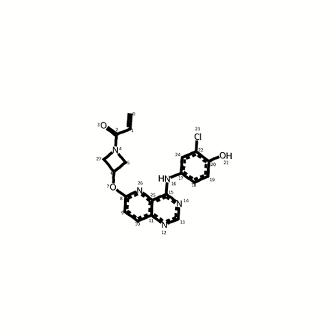 C=CC(=O)N1CC(Oc2ccc3ncnc(Nc4ccc(O)c(Cl)c4)c3n2)C1